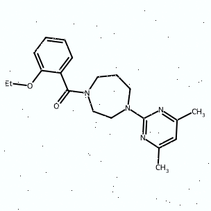 CCOc1ccccc1C(=O)N1CCCN(c2nc(C)cc(C)n2)CC1